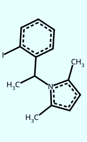 Cc1ccc(C)n1C(C)c1ccccc1I